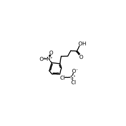 O=C(O)CCCc1ccccc1[N+](=O)[O-].[O-][S+](Cl)Cl